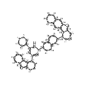 c1ccc(C2=NC(c3cccc4oc5ccccc5c34)=NC(c3ccc4cc(-c5cncc6oc7cc8ccccc8cc7c56)ccc4c3)N2)cc1